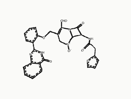 O=CC1=C(COc2ccccc2-c2nc3ccccc3c(=O)[nH]2)C[S+]([O-])C2C(NC(=O)Cc3cccs3)C(=O)N12